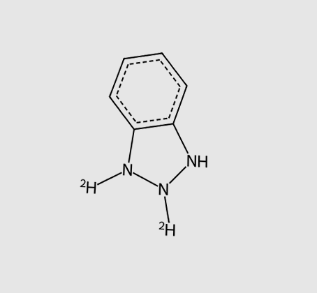 [2H]N1Nc2ccccc2N1[2H]